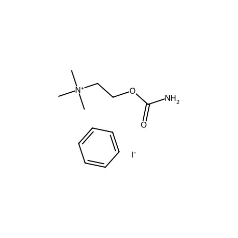 C[N+](C)(C)CCOC(N)=O.[I-].c1ccccc1